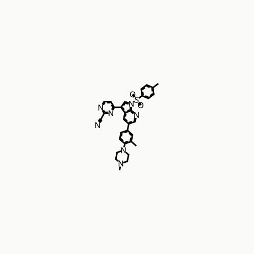 Cc1ccc(S(=O)(=O)n2cc(-c3ccnc(C#N)n3)c3cc(-c4ccc(N5CCN(C)CC5)c(C)c4)cnc32)cc1